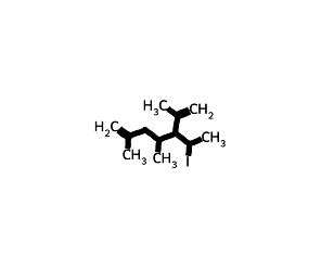 C=C(C)CC(C)C(C(=C)C)C(C)I